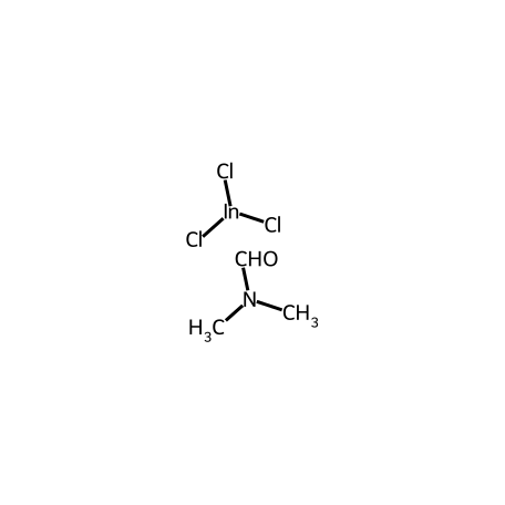 CN(C)C=O.[Cl][In]([Cl])[Cl]